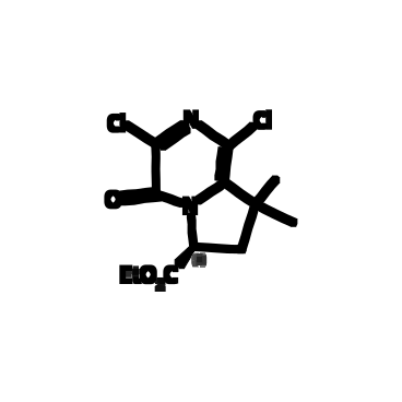 CCOC(=O)[C@@H]1CC(C)(C)c2c(Cl)nc(Cl)c(=O)n21